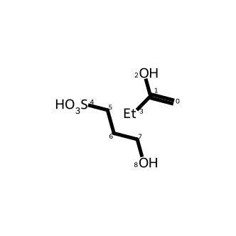 C=C(O)CC.O=S(=O)(O)CCCO